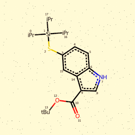 CC(C)[Si](Sc1ccc2[nH]cc(C(=O)OC(C)(C)C)c2c1)(C(C)C)C(C)C